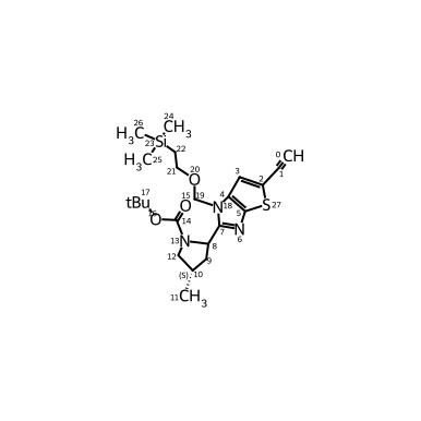 C#Cc1cc2c(nc(C3C[C@H](C)CN3C(=O)OC(C)(C)C)n2COCC[Si](C)(C)C)s1